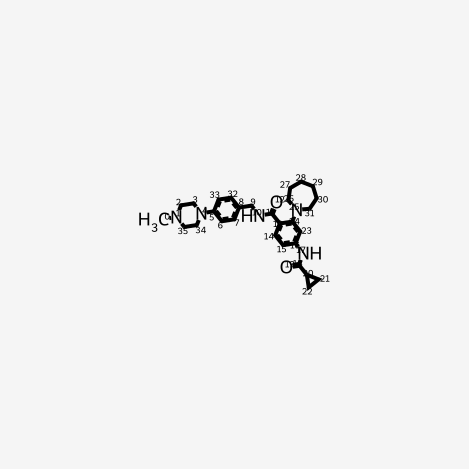 CN1CCN(c2ccc(CNC(=O)c3ccc(NC(=O)C4CC4)cc3N3CCCCCC3)cc2)CC1